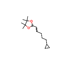 CC1(C)OB(/C=C/CCCC2CC2)OC1(C)C